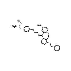 CCCCc1ccc2c(c1)C(OCCOc1ccc(CC(OCC)C(=O)O)cc1)c1cccc(CCc3ccccc3)c1C=C2